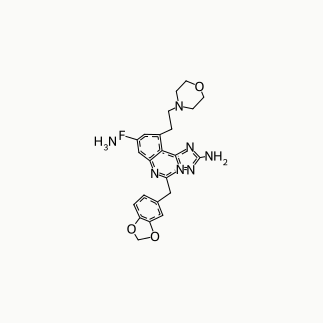 N.Nc1nc2c3c(CCN4CCOCC4)cc(F)cc3nc(Cc3ccc4c(c3)OCO4)n2n1